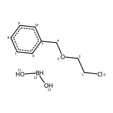 ClCCOCc1ccccc1.OBO